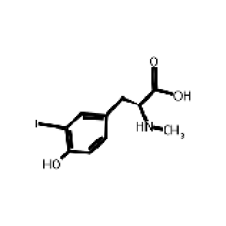 CN[C@@H](Cc1ccc(O)c(I)c1)C(=O)O